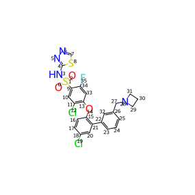 O=S(=O)(Nc1nncs1)c1cc(Cl)c(Oc2ccc(Cl)cc2-c2cccc(CN3CCC3)c2)cc1F